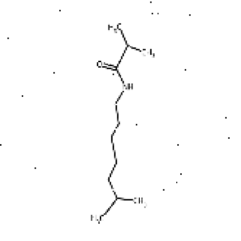 CC(C)CCCCCNC(=O)C(C)C